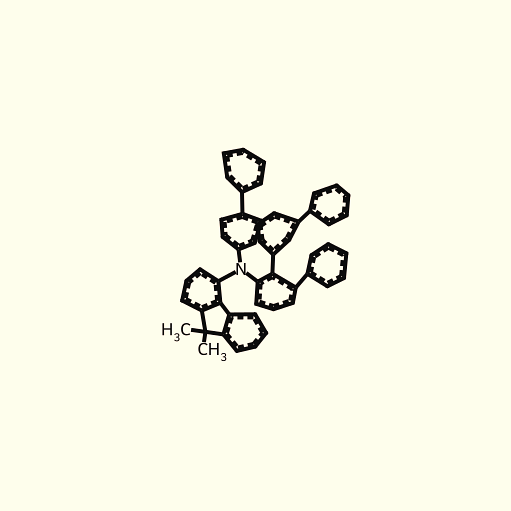 CC1(C)c2ccccc2-c2c(N(c3ccc(-c4ccccc4)cc3)c3cccc(-c4ccccc4)c3-c3cccc(-c4ccccc4)c3)cccc21